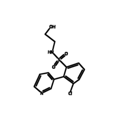 O=S(=O)(NCCO)c1cccc(Cl)c1-c1cccnc1